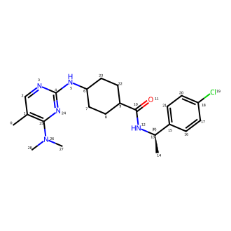 Cc1cnc(NC2CCC(C(=O)N[C@H](C)c3ccc(Cl)cc3)CC2)nc1N(C)C